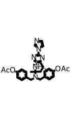 CC(=O)Oc1ccc(CN(Cc2ccc(OC(C)=O)cc2)C(C)(N)CCc2nc(-n3ccnc3)ns2)cc1